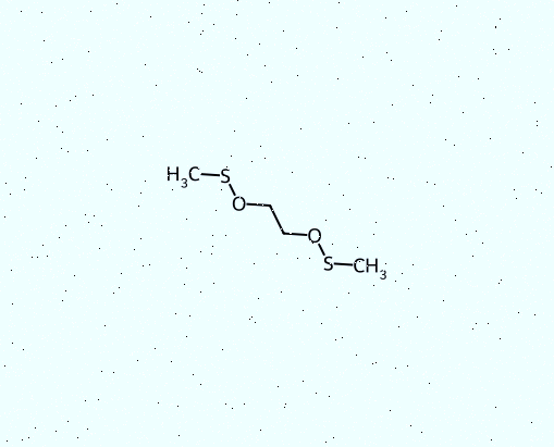 CSOCCOSC